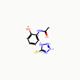 CC(=O)Nc1ccccc1O.Sc1nnn[nH]1